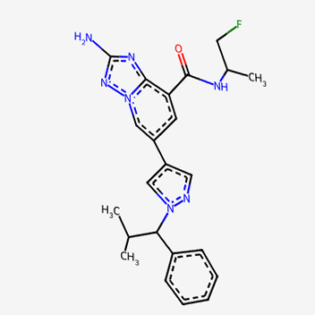 CC(CF)NC(=O)c1cc(-c2cnn(C(c3ccccc3)C(C)C)c2)cn2nc(N)nc12